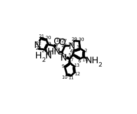 Nc1cc2c3c(c1)C(c1ccccc1)=NC(NC(=O)c1ccncc1N)C(=O)N3CC2